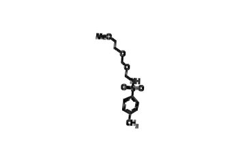 COCCOCOCNS(=O)(=O)c1ccc(C)cc1